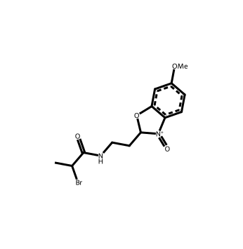 COc1ccc2c(c1)OC(CCNC(=O)C(C)Br)[N+]2=O